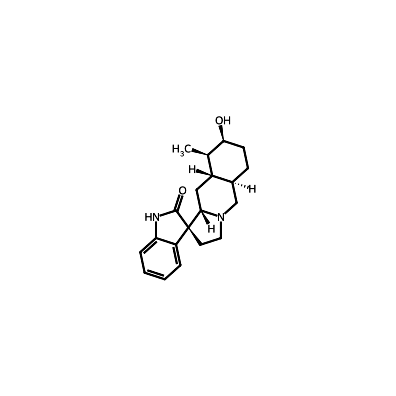 C[C@@H]1[C@H]2C[C@@H]3N(CC[C@@]34C(=O)Nc3ccccc34)C[C@@H]2CC[C@@H]1O